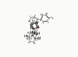 Cc1ccc(C2CCCn3nc(N[C@@H]4[C@@H]5CC[C@H]4CN(c4cc(C)ns4)C5)nc32)cc1